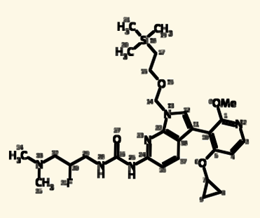 COc1nccc(OC2CC2)c1-c1cn(COCC[Si](C)(C)C)c2nc(NC(=O)NCC(F)CN(C)C)ccc12